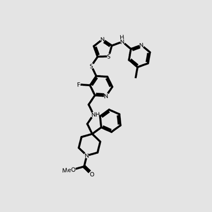 COC(=O)N1CCC(CNCc2nccc(Sc3cnc(Nc4cc(C)ccn4)s3)c2F)(c2ccccc2)CC1